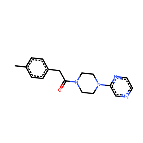 Cc1ccc(CC(=O)N2CCN(c3cnccn3)CC2)cc1